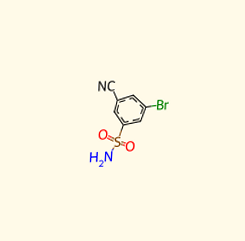 N#Cc1cc(Br)cc(S(N)(=O)=O)c1